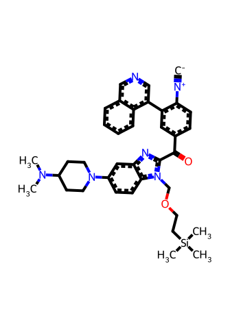 [C-]#[N+]c1ccc(C(=O)c2nc3cc(N4CCC(N(C)C)CC4)ccc3n2COCC[Si](C)(C)C)cc1-c1cncc2ccccc12